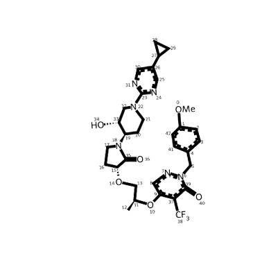 COc1ccc(Cn2ncc(O[C@@H](C)CO[C@@H]3CCN([C@@H]4CCN(c5ncc(C6CC6)cn5)C[C@H]4O)C3=O)c(C(F)(F)F)c2=O)cc1